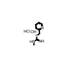 CNC(=N)SCc1ccccn1.Cl.Cl